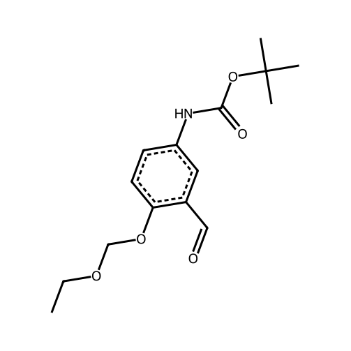 CCOCOc1ccc(NC(=O)OC(C)(C)C)cc1C=O